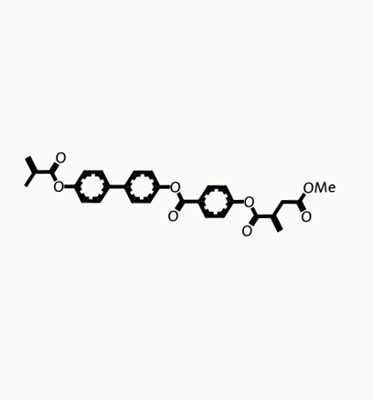 C=C(C)C(=O)Oc1ccc(-c2ccc(OC(=O)c3ccc(OC(=O)C(=C)CC(=O)OC)cc3)cc2)cc1